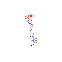 CCCc1noc(N2CCC(CCCOc3ccc(C(=O)O)c(C)c3)CC2)n1